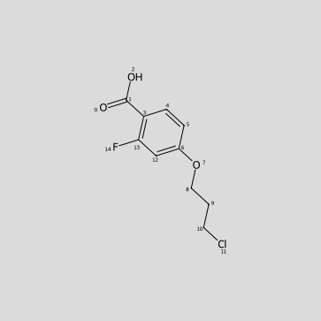 O=C(O)c1ccc(OCCCCl)cc1F